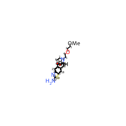 COCCOCCN1CC[C@]23CCCC[C@H]2[C@H]1Cc1cc2sc(N)nc2cc13